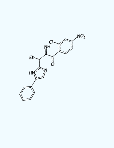 CCC(C(=N)C(=O)c1ccc([N+](=O)[O-])cc1Cl)c1ncc(-c2ccccc2)[nH]1